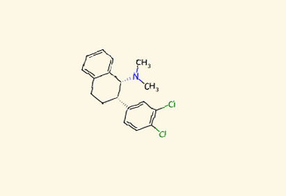 CN(C)[C@H]1c2ccccc2CC[C@H]1c1ccc(Cl)c(Cl)c1